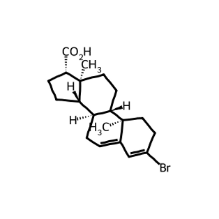 C[C@]12CC[C@H]3[C@@H](CC=C4C=C(Br)CC[C@@]43C)[C@@H]1CC[C@@H]2C(=O)O